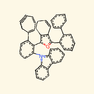 C1#CCC(c2cccc(-n3c4ccccc4c4ccccc43)c2-c2oc(-c3ccccc3-c3ccccc3)c3c2CCC=C3)=CC=C1